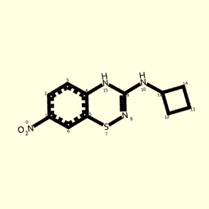 O=[N+]([O-])c1ccc2c(c1)SN=C(NC1CCC1)N2